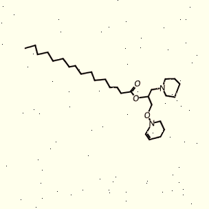 CCCCCCCCCCCCCCCC(=O)OC(CON1C=CCCC1)CN1CCCCC1